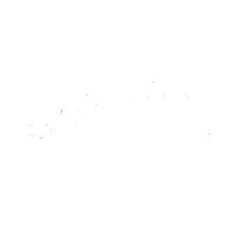 OCC1CCN(Cc2ccc(-c3ccc(-c4cc5nc(O[C@@H]6CO[C@@H]7CCO[C@H]76)[nH]c5cc4Cl)cc3)cc2)CC1